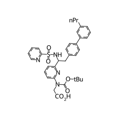 CCCc1cccc(-c2ccc(CC(NS(=O)(=O)c3ccccn3)c3cccc(N(CC(=O)O)C(=O)OC(C)(C)C)n3)cc2)c1